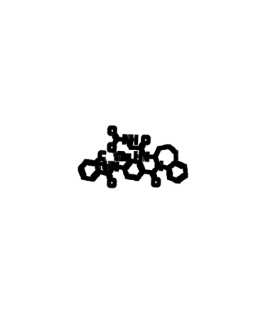 Cc1ccccc1C(=O)Nc1ccc(C(=O)N2c3ccccc3CCCC2NC(=O)CNC(=O)OC(C)(C)C)cc1